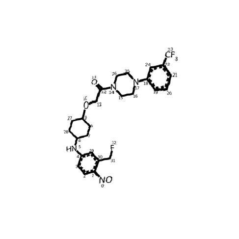 O=Nc1ccc(NC2CCC(OCC(=O)N3CCN(c4cccc(C(F)(F)F)c4)CC3)CC2)cc1CF